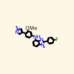 COc1cc(Nc2cccc3c2nc(-c2ccc(F)cc2)n3C)ccc1-c1cnn(C)c1